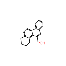 OCc1cc2ccccc2c2ccc3c(c12)CCCC3